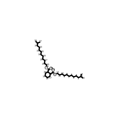 CC(C)CCCCCCCCCCOC(=O)C1CCCCC1C(=O)OCCCCCCCCCCC(C)C